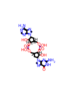 C[C@@]12COP(=O)(O)O[C@@H]3[C@@H](COP(=O)(O)O[C@H]1[C@@H](O)[C@H](n1cnc4c(=O)[nH]c(N)nc41)C2)C[C@@H](n1cnc2c(N)ncnc21)[C@@H]3O